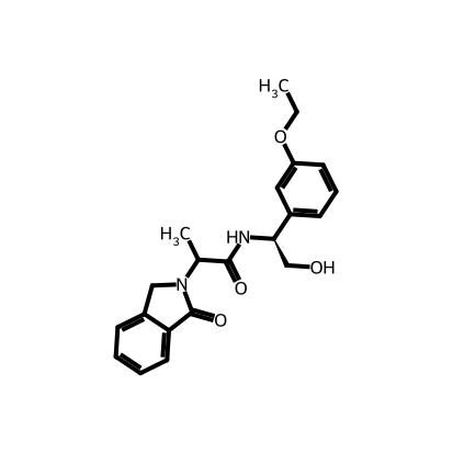 CCOc1cccc([C@@H](CO)NC(=O)C(C)N2Cc3ccccc3C2=O)c1